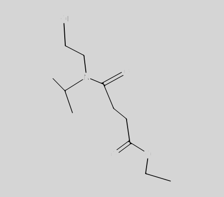 CCOC(=O)CCC(=O)N(CCO)C(C)C